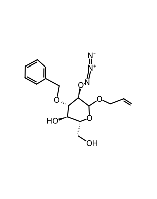 C=CCOC1O[C@H](CO)[C@@H](O)[C@H](OCc2ccccc2)[C@H]1ON=[N+]=[N-]